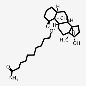 C[C@]12C[C@H](OCCCCCCCCCC(N)=O)[C@H]3[C@@H](CC[C@H]4CCCC(=O)[C@@]43C)[C@@H]1CC[C@@H]2O